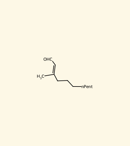 CCCCCCCCC(C)=CC=O